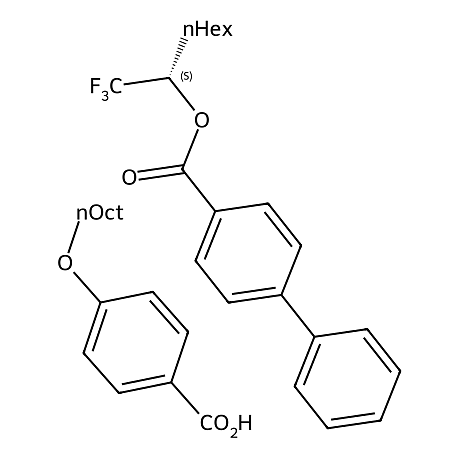 CCCCCCCCOc1ccc(C(=O)O)cc1.CCCCCC[C@H](OC(=O)c1ccc(-c2ccccc2)cc1)C(F)(F)F